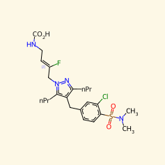 CCCc1nn(C/C(F)=C/CNC(=O)O)c(CCC)c1Cc1ccc(S(=O)(=O)N(C)C)c(Cl)c1